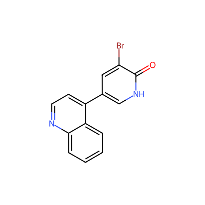 O=c1[nH]cc(-c2ccnc3ccccc23)cc1Br